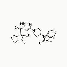 CCc1c(C(=O)C2C=C(N3CCC(n4c(=O)[nH]c5ncccc54)CC3)N=CN2)c2ccccc2n1C